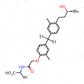 CCC(CC)(c1ccc(CC[C@@H](O)C(C)(C)C)c(C)c1)c1ccc(OCC(=O)NC(C(=O)O)C(C)C)c(C)c1